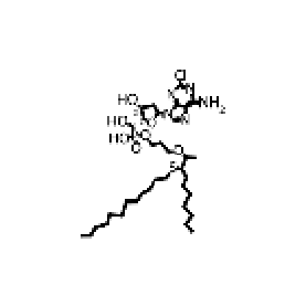 CCCCCCCCCCCCSC(CCCCCCC)C(C)OCCCOP(=O)(O)C(O)[C@H]1O[C@@H](n2cnc3c(N)nc(Cl)nc32)C[C@@H]1O